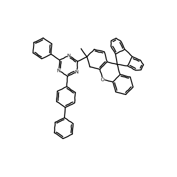 CC1(c2nc(-c3ccccc3)nc(-c3ccc(-c4ccccc4)cc3)n2)C=CC2=C(C1)Oc1ccccc1C21c2ccccc2-c2ccccc21